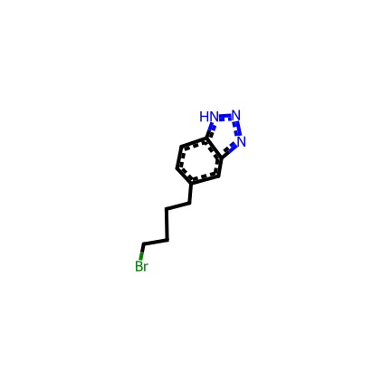 BrCCCCc1ccc2[nH]nnc2c1